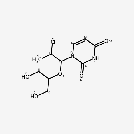 CC(Cl)C(OC(CO)CO)n1ccc(=O)[nH]c1=O